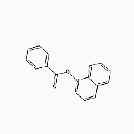 O=C(O[n+]1cccc2ccccc21)c1ccccc1